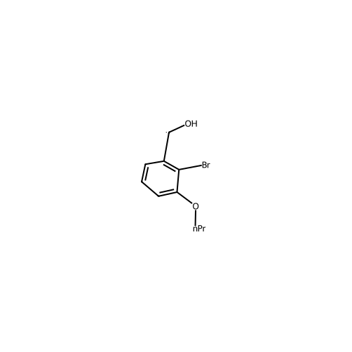 CCCOc1cccc([CH]O)c1Br